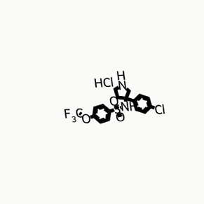 Cl.O=S(=O)(NC1(c2ccc(Cl)cc2)CCNC1)c1ccc(OC(F)(F)F)cc1